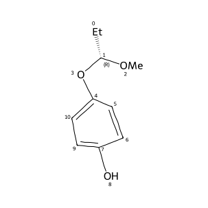 CC[C@H](OC)Oc1ccc(O)cc1